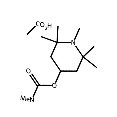 CC(=O)O.CNC(=O)OC1CC(C)(C)N(C)C(C)(C)C1